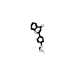 CCOc1ccc(-c2cc(=O)c3ccccc3o2)cc1